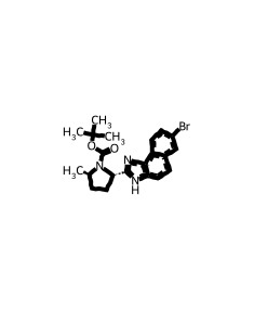 C[C@@H]1CC[C@@H](c2nc3c(ccc4cc(Br)ccc43)[nH]2)N1C(=O)OC(C)(C)C